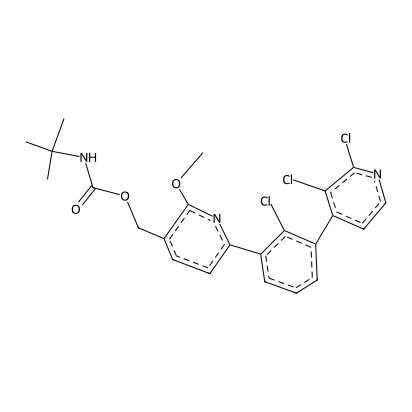 COc1nc(-c2cccc(-c3ccnc(Cl)c3Cl)c2Cl)ccc1COC(=O)NC(C)(C)C